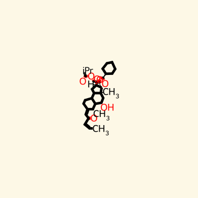 C/C=C\C(=O)/C=C1/CCC2C([C@@H]1C)[C@@H](O)C[C@@]1(C)C2C[C@H]2O[C@@H](C3CCCCC3)O[C@]21C(=O)COC(=O)C(C)C